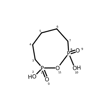 O=P1(O)CCCCCP(=O)(O)O1